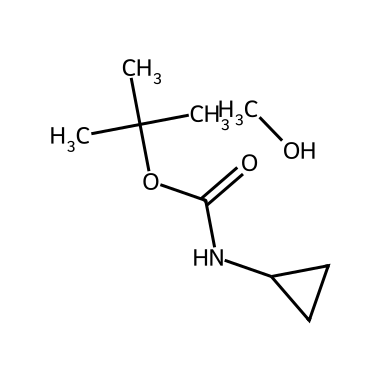 CC(C)(C)OC(=O)NC1CC1.CO